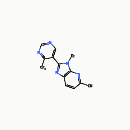 CCn1c(-c2cncnc2C(F)(F)F)nc2ccc(C#N)nc21